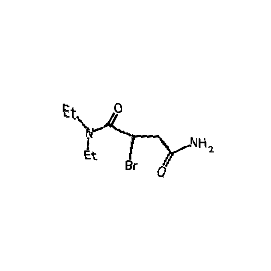 CCN(CC)C(=O)C(Br)CC(N)=O